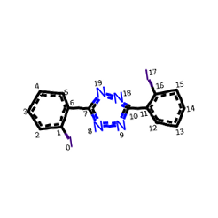 Ic1ccccc1-c1nnc(-c2ccccc2I)nn1